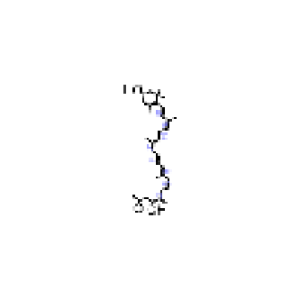 CC(=O)CC(O)/C(C)=C/C=C\C(C)=C\C=C\C=C(C)/C=C/C=C(C)\C=C\C1=C(C)CC(O)CC1(C)C